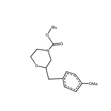 COc1ccc(CC2CN(C(=O)OC(C)(C)C)CCO2)cc1